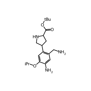 CC(C)Oc1cc(C2CNC(C(=O)OC(C)(C)C)C2)c(CN)cc1N